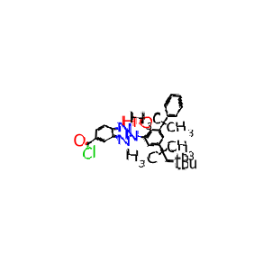 CC(C)(C)CC(C)(C)c1cc(-n2nc3ccc(C(=O)Cl)cc3n2)c(O)c(C(C)(C)c2ccccc2)c1